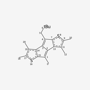 CC1=C2C(=C(CC(C)(C)C)c3sc(C)c(C)c32)c2c1sc(C)c2C